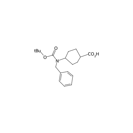 CC(C)(C)OC(=O)N(Cc1ccccc1)C1CCC(C(=O)O)CC1